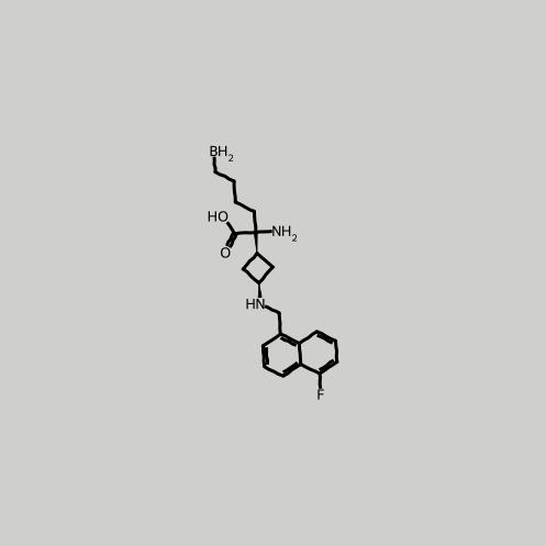 BCCCCC(N)(C(=O)O)[C@H]1C[C@@H](NCc2cccc3c(F)cccc23)C1